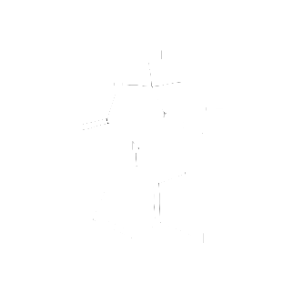 C=CC1(C)OC(=O)N(c2cccc(Cl)c2Cl)C1=O